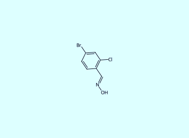 ON=Cc1ccc(Br)cc1Cl